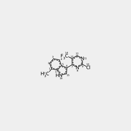 Cc1cccc2c(-c3nc(Cl)ncc3C(F)(F)F)c[nH]c12